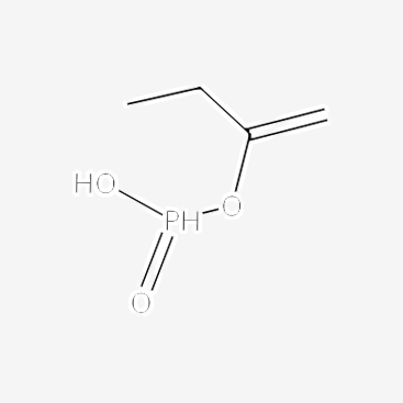 C=C(CC)O[PH](=O)O